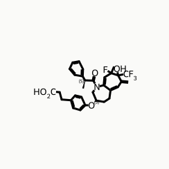 C=C1C=C2CC[C@H](Oc3ccc(CCC(=O)O)cc3)CN(C(=O)[C@@H](C)c3ccccc3)C2=CC(C)(F)C1(O)C(F)(F)F